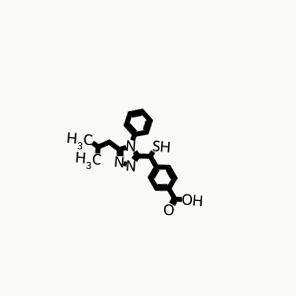 CC(C)Cc1nnc(C(S)c2ccc(C(=O)O)cc2)n1-c1ccccc1